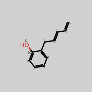 C=CC=CCc1ccccc1O